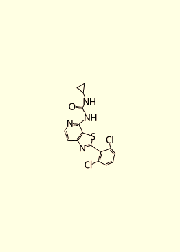 O=C(Nc1nccc2nc(-c3c(Cl)cccc3Cl)sc12)NC1CC1